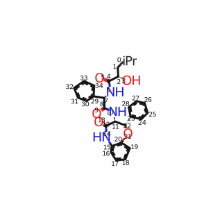 CC(C)C[C@H](O)C(=O)N[C@H](C(=O)N[C@H]1C(=O)Nc2ccccc2O[C@H]1c1ccccc1)c1ccccc1